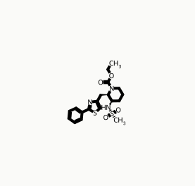 CCOC(=O)N1CCC[C@@H](NS(C)(=O)=O)[C@H]1Cc1csc(-c2ccccc2)n1